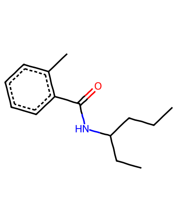 CCCC(CC)NC(=O)c1ccccc1C